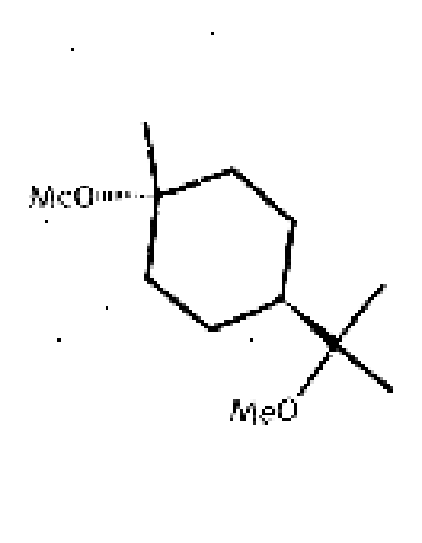 COC(C)(C)[C@H]1CC[C@](C)(OC)CC1